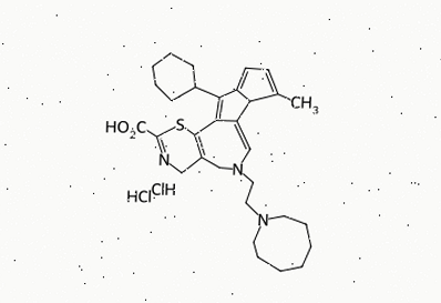 CC1=CC=C2C(C3CCCCC3)=C3C(=CN(CCN4CCCCCCC4)CC4=C3SC(C(=O)O)=NC4)C12.Cl.Cl